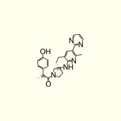 Cc1nc2c(cc1-c1ncccn1)CC[C@@]1(CCN(C(=O)[C@H](C)c3ccc(O)cc3)C1)N2